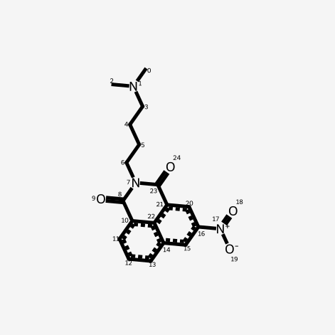 CN(C)CCCCN1C(=O)c2cccc3cc([N+](=O)[O-])cc(c23)C1=O